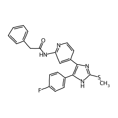 CSc1nc(-c2ccnc(NC(=O)Cc3ccccc3)c2)c(-c2ccc(F)cc2)[nH]1